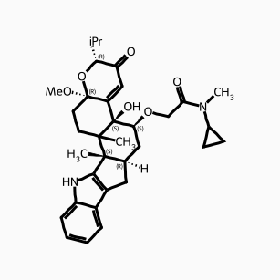 CO[C@@]12CCC3(C)[C@@]4(C)c5[nH]c6ccccc6c5C[C@@H]4C[C@H](OCC(=O)N(C)C4CC4)[C@@]3(O)C1=CC(=O)[C@@H](C(C)C)O2